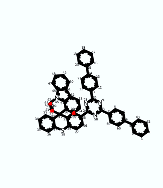 c1ccc(-c2ccc(-c3nc(-c4ccc(-c5ccccc5)cc4)nc(-c4ccc5c(c4)C4(c6ccccc6S5)c5ccccc5-n5c6ccccc6c6cccc4c65)n3)cc2)cc1